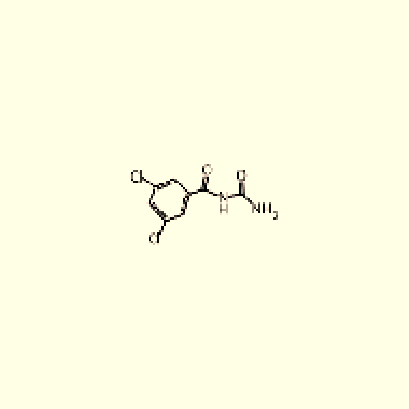 NC(=O)NC(=O)c1cc(Cl)cc(Cl)c1